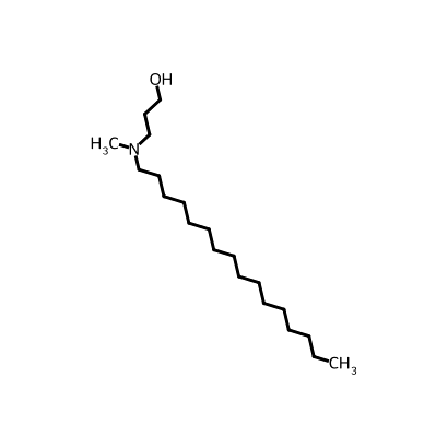 CCCCCCCCCCCCCCCCN(C)CCCO